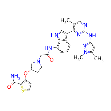 Cc1cnc(Nc2cc(C)n(C)n2)nc1-c1c[nH]c2c(NC(=O)CN3CC[C@H](Oc4ccsc4C(N)=O)C3)cccc12